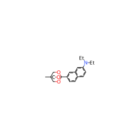 CCN(CC)c1ccc2ccc(C34OCC(C)(CO3)CO4)cc2c1